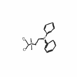 C[N+](C)(CCP(c1ccccc1)c1ccccc1)C(Cl)Cl